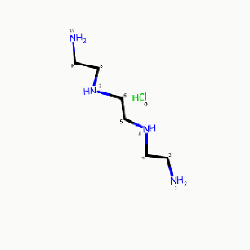 Cl.NCCNCCNCCN